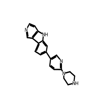 c1cc2[nH]c3cc(-c4ccc(N5CCNCC5)nc4)ccc3c2cn1